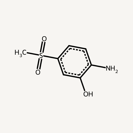 CS(=O)(=O)c1ccc(N)c(O)c1